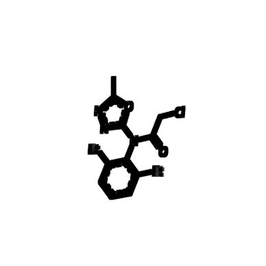 CCc1cccc(CC)c1N(C(=O)CCl)c1nnc(C)o1